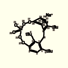 CC(C)(C)c1ccc2c(C(C)(C)C)c1Cc1c(C(C)(C)C)ccc(c1C(C)(C)C)OOP(=O)([O-])OO2.[Na+]